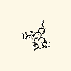 N#Cc1ccc2c(c1)CN(S(=O)(=O)c1cccs1)[C@H](Cc1cccs1)CN2Cc1c[nH]cn1